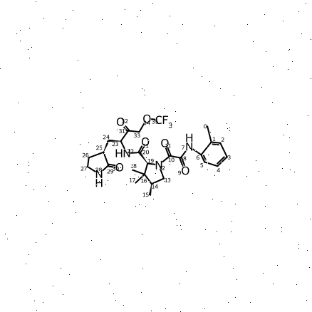 Cc1ccccc1NC(=O)C(=O)N1C[C@@H](C)C(C)(C)[C@H]1C(=O)N[C@@H](C[C@@H]1CCNC1=O)C(=O)COC(F)(F)F